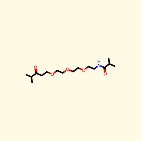 CC(C)C(=O)CCOCCOCCOCCNC(=O)C(C)C